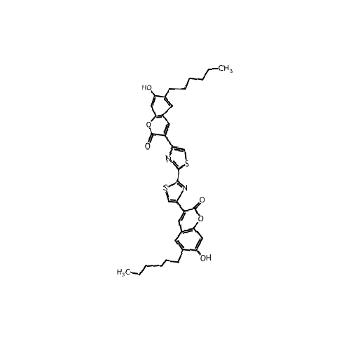 CCCCCCc1cc2cc(-c3csc(-c4nc(-c5cc6cc(CCCCCC)c(O)cc6oc5=O)cs4)n3)c(=O)oc2cc1O